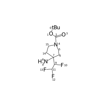 CC(C)(C)OC(=O)N1CCC(N)(C(F)C(F)F)CC1